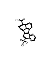 O=C(O)c1ccc2c3c(cccc13)-c1c-2cc(S(=O)(=O)O)c2nccnc12